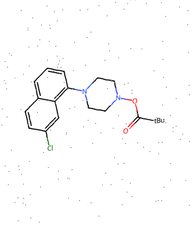 CC(C)(C)C(=O)ON1CCN(c2cccc3ccc(Cl)cc23)CC1